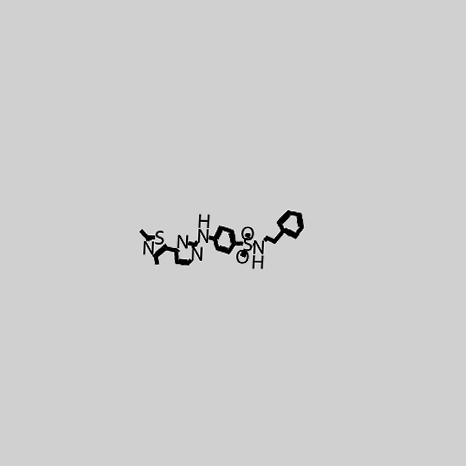 Cc1nc(C)c(-c2ccnc(Nc3ccc(S(=O)(=O)NCCc4ccccc4)cc3)n2)s1